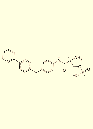 C[C@](N)(COP(=O)(O)O)C(=O)Nc1ccc(Cc2ccc(-c3ccccc3)cc2)cc1